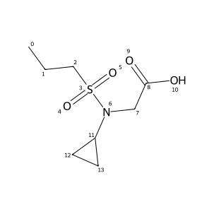 CCCS(=O)(=O)N(CC(=O)O)C1CC1